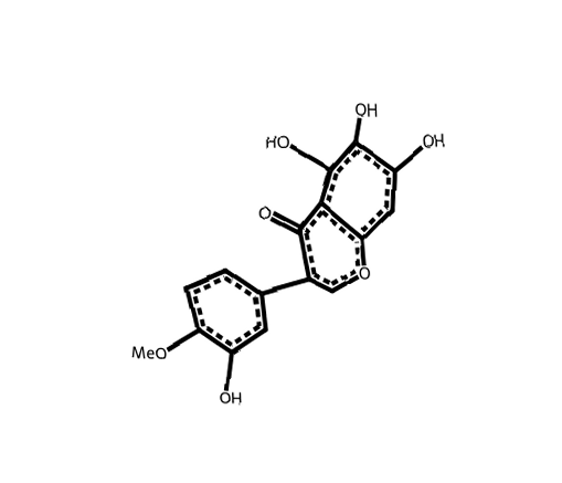 COc1ccc(-c2coc3cc(O)c(O)c(O)c3c2=O)cc1O